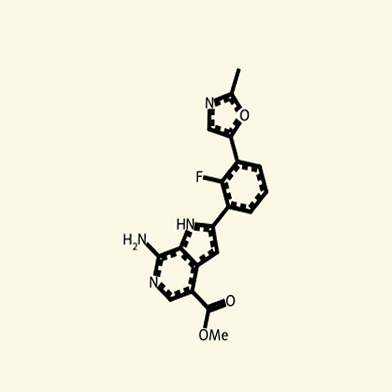 COC(=O)c1cnc(N)c2[nH]c(-c3cccc(-c4cnc(C)o4)c3F)cc12